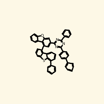 c1ccc(-c2ccc(-c3nc(-c4ccccc4)nc(-c4cc(-c5cccc6sc7c(-c8ccccc8)cccc7c56)c5c(c4)oc4ccccc45)n3)cc2)cc1